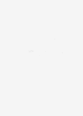 CSC(=N)c1cccc(C)c1